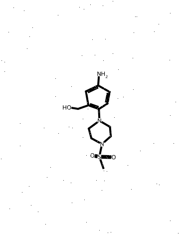 CS(=O)(=O)N1CCN(c2ccc(N)cc2CO)CC1